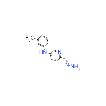 N/N=C/c1ccc(Nc2cccc(C(F)(F)F)c2)cn1